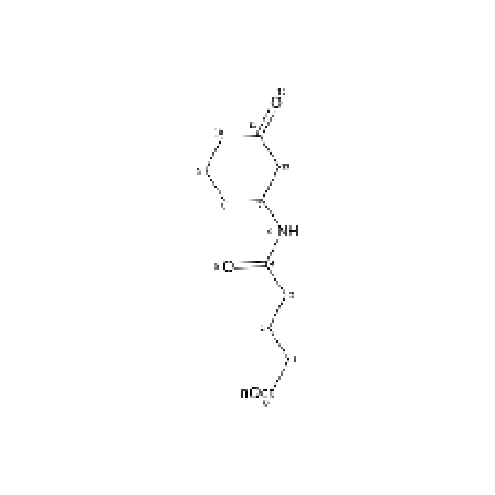 CCCCCCCCCCCC(=O)NC1CCCC(=O)C1